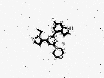 CCn1nccc1-c1cc(N2CCOC[C@H]2C)nc(-c2cc(F)cc3[nH]ccc23)n1